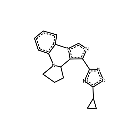 c1ccc2c(c1)N1CCCC1c1c(-c3noc(C4CC4)n3)ncn1-2